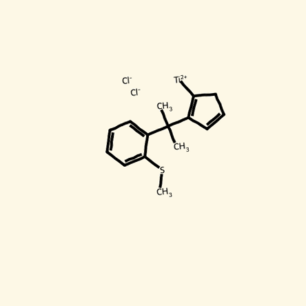 CSc1ccccc1C(C)(C)C1=[C]([Ti+2])CC=C1.[Cl-].[Cl-]